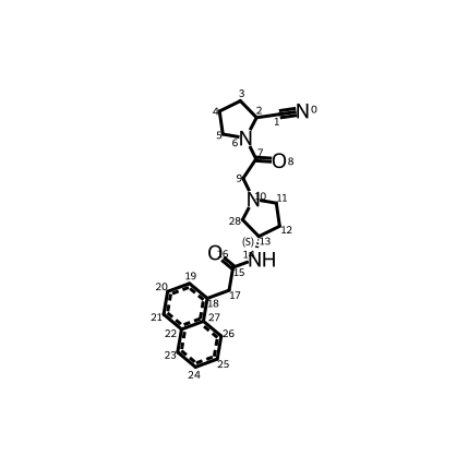 N#CC1CCCN1C(=O)CN1CC[C@H](NC(=O)Cc2cccc3ccccc23)C1